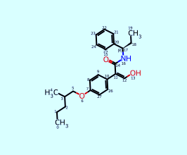 CCCC(C)COc1ccc(C(=CO)C(=O)N[C@H](CC)c2ccccc2)cc1